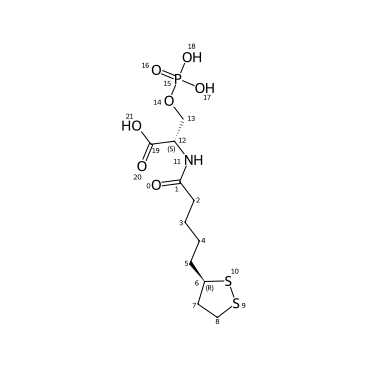 O=C(CCCC[C@@H]1CCSS1)N[C@@H](COP(=O)(O)O)C(=O)O